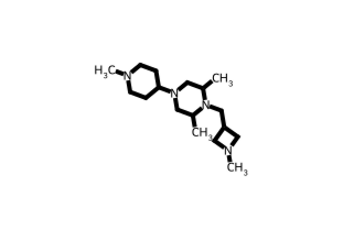 CC1CN(C2CCN(C)CC2)CC(C)N1CC1CN(C)C1